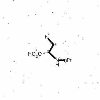 CCCN[C@@H](CF)C(=O)O